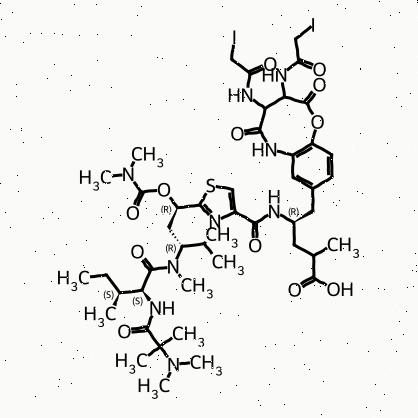 CC[C@H](C)[C@H](NC(=O)C(C)(C)N(C)C)C(=O)N(C)[C@H](C[C@@H](OC(=O)N(C)C)c1nc(C(=O)N[C@@H](Cc2ccc3c(c2)NC(=O)C(NC(=O)CI)C(NC(=O)CI)C(=O)O3)CC(C)C(=O)O)cs1)C(C)C